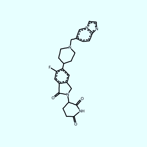 O=C1CCC(N2Cc3cc(C4CCN(Cc5ccc6nccn6c5)CC4)c(F)cc3C2=O)C(=O)N1